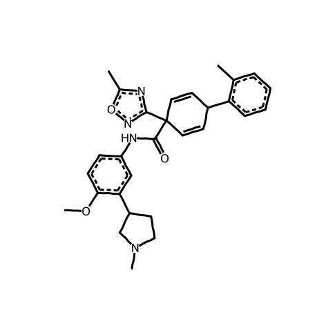 COc1ccc(NC(=O)C2(c3noc(C)n3)C=CC(c3ccccc3C)C=C2)cc1C1CCN(C)C1